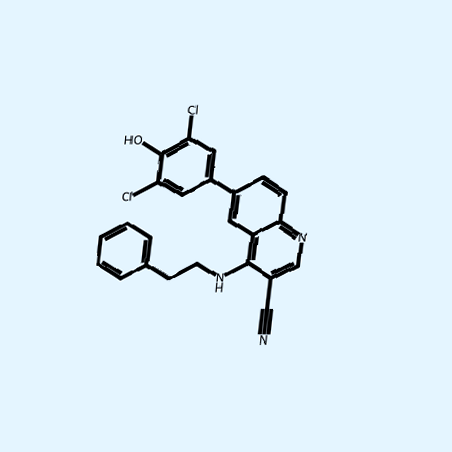 N#Cc1cnc2ccc(-c3cc(Cl)c(O)c(Cl)c3)cc2c1NCCc1ccccc1